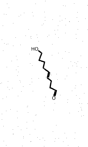 O=CCCC=CCCCCO